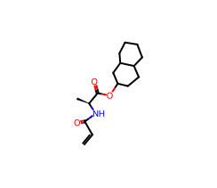 C=CC(=O)N[C@@H](C)C(=O)OC1CCC2CCCCC2C1